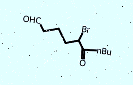 CCCCC(=O)C(Br)CCCC=O